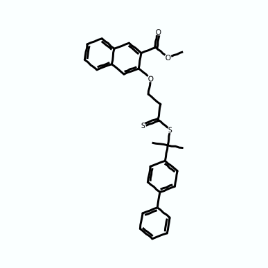 COC(=O)c1cc2ccccc2cc1OCCC(=S)SC(C)(C)c1ccc(-c2ccccc2)cc1